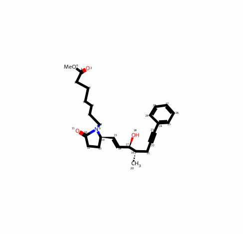 COC(=O)CCCCCCN1C(=O)CC[C@@H]1C=C[C@@H](O)[C@@H](C)CC#Cc1ccccc1